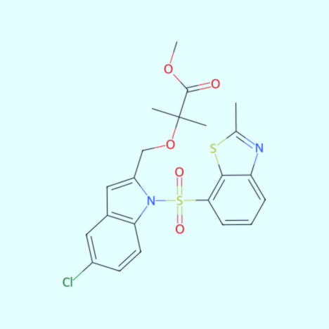 COC(=O)C(C)(C)OCc1cc2cc(Cl)ccc2n1S(=O)(=O)c1cccc2nc(C)sc12